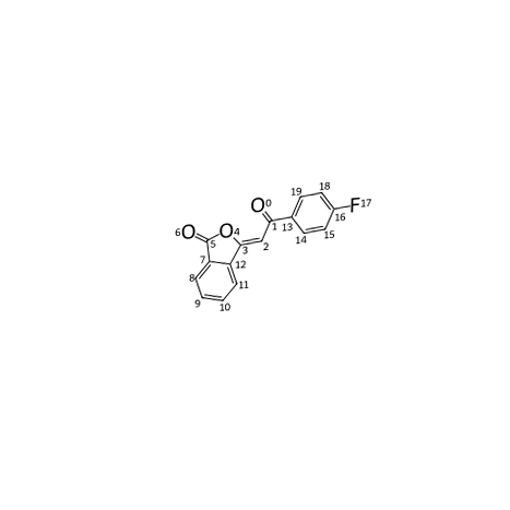 O=C(C=C1OC(=O)c2ccccc21)c1ccc(F)cc1